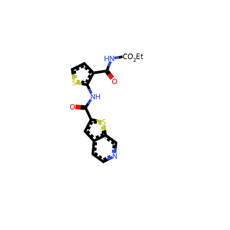 CCOC(=O)NC(=O)c1ccsc1NC(=O)c1cc2ccncc2s1